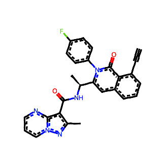 C#Cc1cccc2cc([C@H](C)NC(=O)c3c(C)nn4cccnc34)n(-c3ccc(F)cc3)c(=O)c12